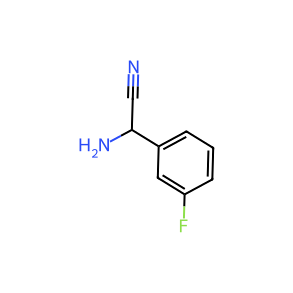 N#CC(N)c1cccc(F)c1